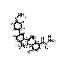 CCN[S+]([O-])Nc1ccc(F)c(C(=O)C(=N)c2cc(-c3ccc(SN)cc3)cnc2N)c1F